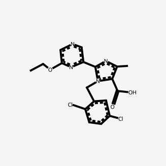 CCOc1cncc(-c2nc(C)c(C(=O)O)n2Cc2cc(Cl)ccc2Cl)n1